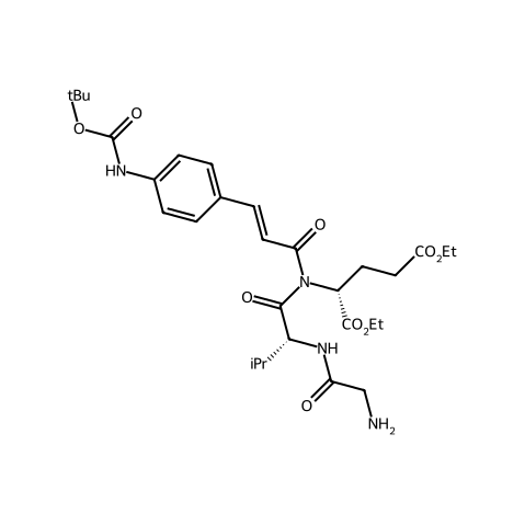 CCOC(=O)CC[C@H](C(=O)OCC)N(C(=O)/C=C/c1ccc(NC(=O)OC(C)(C)C)cc1)C(=O)[C@H](NC(=O)CN)C(C)C